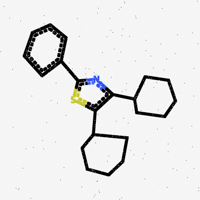 c1ccc(-c2nc(C3CCCCC3)c(C3CCCCC3)s2)cc1